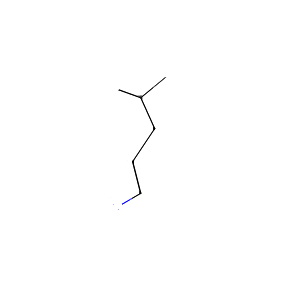 CCCC(C)CCC[NH]